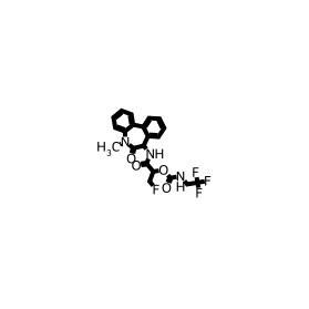 CN1C(=O)C(NC(=O)C(CF)OC(=O)NCC(F)(F)F)c2ccccc2-c2ccccc21